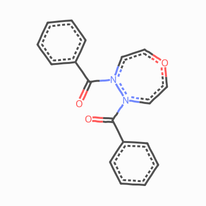 O=C(c1ccccc1)n1ccoccn1C(=O)c1ccccc1